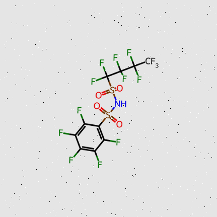 O=S(=O)(NS(=O)(=O)C(F)(F)C(F)(F)C(F)(F)C(F)(F)F)c1c(F)c(F)c(F)c(F)c1F